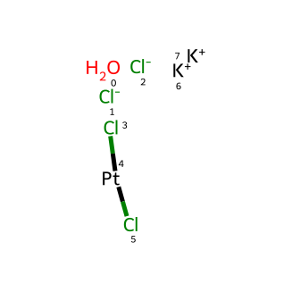 O.[Cl-].[Cl-].[Cl][Pt][Cl].[K+].[K+]